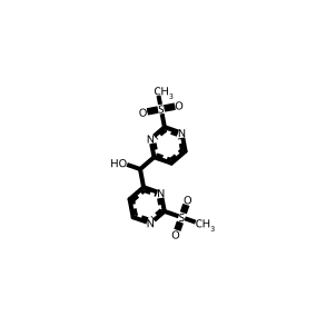 CS(=O)(=O)c1nccc(C(O)c2ccnc(S(C)(=O)=O)n2)n1